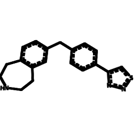 c1cc(-c2csnn2)ccc1Cc1ccc2c(c1)CCNCC2